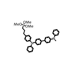 CO[Si](CCCc1ccc(N(c2ccccc2)c2ccc(-c3ccc(N(C)c4ccccc4)cc3)cc2)cc1)(OC)OC